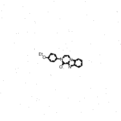 CCOc1ccc(-n2ccn3c(nc4ccccc43)c2=O)cc1